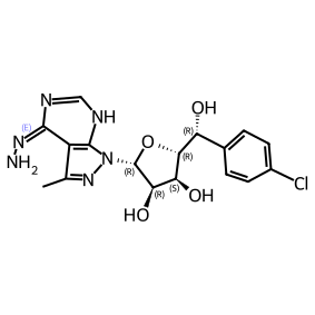 Cc1nn([C@@H]2O[C@H]([C@H](O)c3ccc(Cl)cc3)[C@@H](O)[C@H]2O)c2[nH]cn/c(=N/N)c12